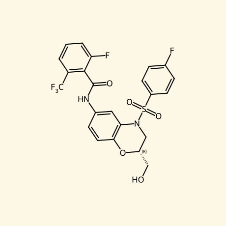 O=C(Nc1ccc2c(c1)N(S(=O)(=O)c1ccc(F)cc1)C[C@H](CO)O2)c1c(F)cccc1C(F)(F)F